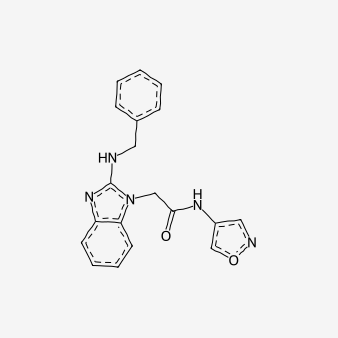 O=C(Cn1c(NCc2ccccc2)nc2ccccc21)Nc1cnoc1